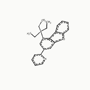 CC[Si](CC)(CC)c1cc(-c2ccccn2)cc2oc3ccccc3c12